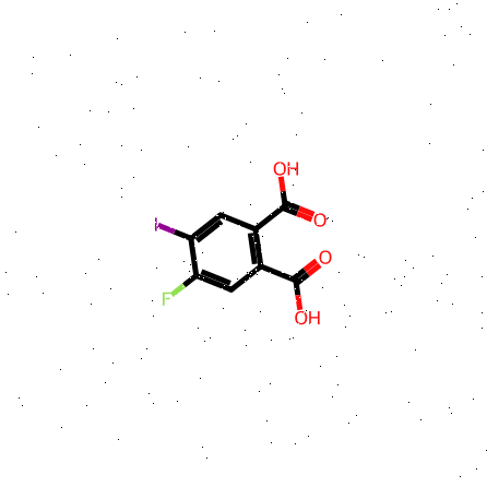 O=C(O)c1cc(F)c(I)cc1C(=O)O